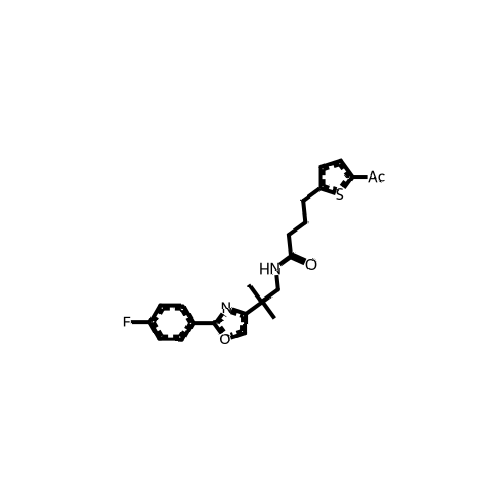 CC(=O)c1ccc(CCCC(=O)NCC(C)(C)c2coc(-c3ccc(F)cc3)n2)s1